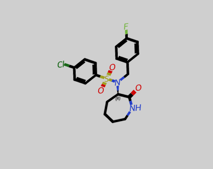 O=C1NCCCC[C@H]1N(Cc1ccc(F)cc1)S(=O)(=O)c1ccc(Cl)cc1